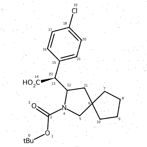 CC(C)(C)OC(=O)N1CC2(CCCC2)CC1[C@@H](C(=O)O)c1ccc(Cl)cc1